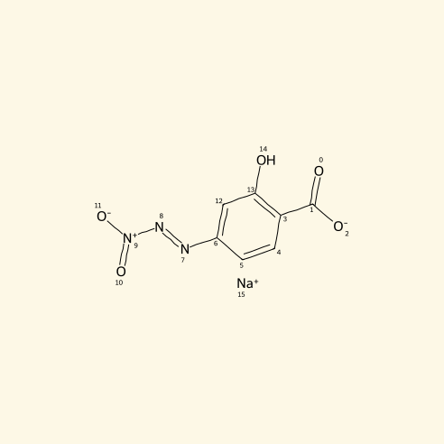 O=C([O-])c1ccc(N=N[N+](=O)[O-])cc1O.[Na+]